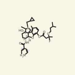 C/C=C(\C=C/N)C(=O)N[C@@H]1CC[C@@]2(O)C(C)N(CC3CC3)CCC23c2c(C)ccc(OC(=O)CC(C)(F)OCCC(C)C)c2O[C@@H]13